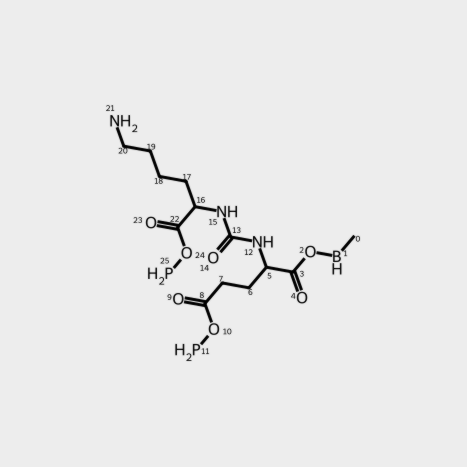 CBOC(=O)C(CCC(=O)OP)NC(=O)NC(CCCCN)C(=O)OP